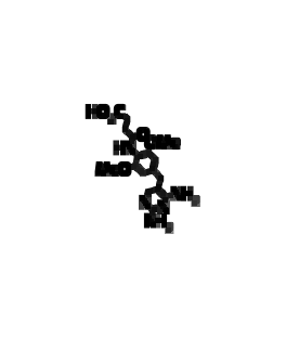 COc1cc(Cc2cnc(N)nc2N)cc(OC)c1NC(=O)CCC(=O)O